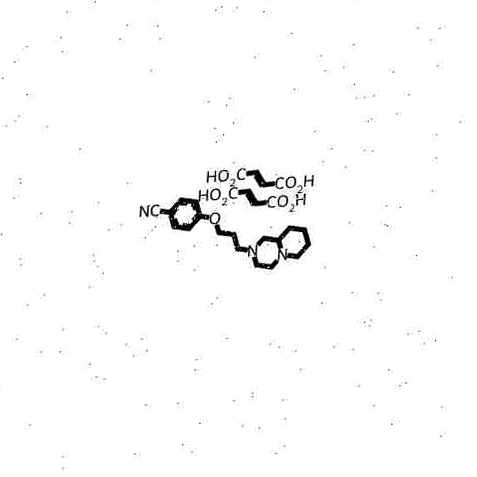 N#Cc1ccc(OCCCN2CCN3CCCCC3C2)cc1.O=C(O)/C=C/C(=O)O.O=C(O)/C=C/C(=O)O